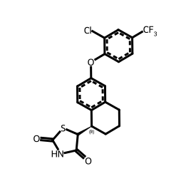 O=C1NC(=O)C([C@@H]2CCCc3cc(Oc4ccc(C(F)(F)F)cc4Cl)ccc32)S1